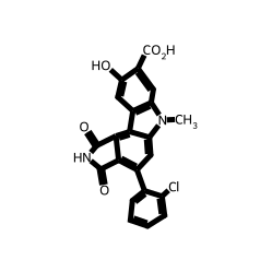 Cn1c2cc(C(=O)O)c(O)cc2c2c3c(c(-c4ccccc4Cl)cc21)C(=O)NC3=O